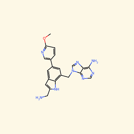 COc1ccc(-c2cc(Cn3cnc4c(N)ncnc43)c3[nH]c(CN)cc3c2)cn1